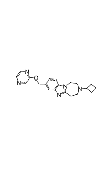 c1cnc(OCc2ccc3c(c2)nc2n3CCN(C3CCC3)CC2)cn1